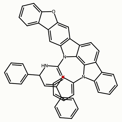 C1=C(c2ccccc2)N=C(n2c3cc4c(cc3c3ccc5c6ccccc6n(-c6ccccc6)c5c32)oc2ccccc24)NC1c1ccccc1